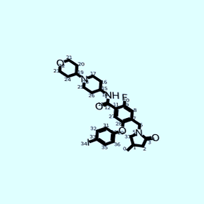 CC1CC(=O)N(Cc2cc(F)c(C(=O)NC3CCN(C4CCOCC4)CC3)cc2Oc2ccc(I)cc2)C1